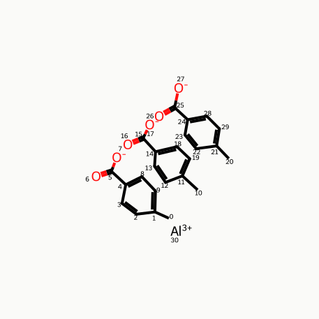 Cc1ccc(C(=O)[O-])cc1.Cc1ccc(C(=O)[O-])cc1.Cc1ccc(C(=O)[O-])cc1.[Al+3]